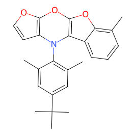 Cc1cc(C(C)(C)C)cc(C)c1N1c2ccoc2Oc2oc3c(C)cccc3c21